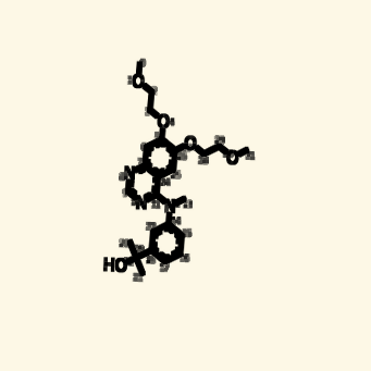 COCCOc1cc2ncnc(N(C)c3cccc(C(C)(C)O)c3)c2cc1OCCOC